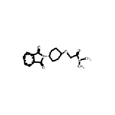 CN(C)C(=O)CO[C@H]1CC[C@H](N2C(=O)c3ccccc3C2=O)CC1